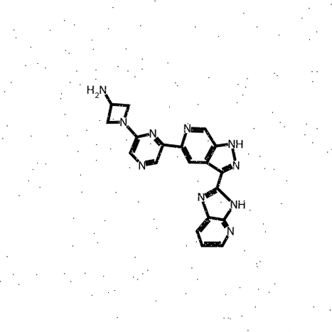 NC1CN(c2cncc(-c3cc4c(-c5nc6cccnc6[nH]5)n[nH]c4cn3)n2)C1